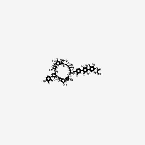 [2H]c1c([2H])c(-c2c([2H])c([2H])c(-c3ccc(C(=O)N[C@@H]4C(=O)N[C@@](C)([C@H](O)CC)C(=O)N5C[C@H](O)C[C@@]5(C)C(=O)N[C@@H]([C@H](O)[C@@H](O)c5ccc(O)c(C)c5C)C(=O)N[C@@H]([C@H](O)CC)C(=O)N5C(C)[C@](C)(C(C)C)[C@H](O)[C@H]5C(=O)N[C@H](OO)[C@H](O)C4C)c(C)c3)c(C)c2[2H])c(C)c([2H])c1OC(C)CC(C)CC